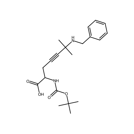 CC(C)(C#CCC(NC(=O)OC(C)(C)C)C(=O)O)NCc1ccccc1